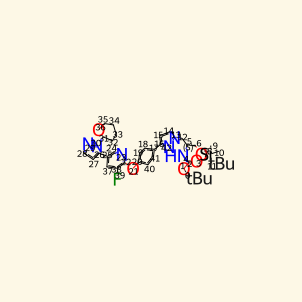 CC(C)(C)OC(=O)N[C@H](CO[Si](C)(C)C(C)(C)C)Cn1ccc(-c2ccc(Oc3ncc(-c4ccnn4C4CCCCO4)cc3F)cc2)n1